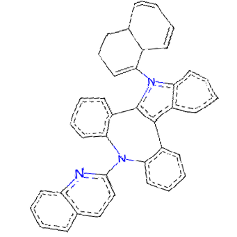 C1=CC2CCC=C(n3c4c(c5ccccc53)-c3ccccc3N(c3ccc5ccccc5n3)c3ccccc3-4)C2C=C1